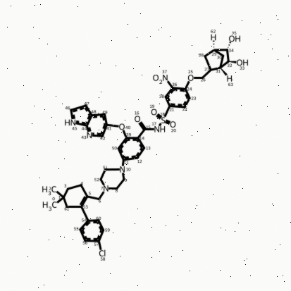 CC1(C)CCC(CN2CCN(c3ccc(C(=O)NS(=O)(=O)c4ccc(OCC5C[C@@H]6C[C@@H]5[C@H](O)[C@H]6O)c([N+](=O)[O-])c4)c(Oc4cnc5[nH]ccc5c4)c3)CC2)=C(c2ccc(Cl)cc2)C1